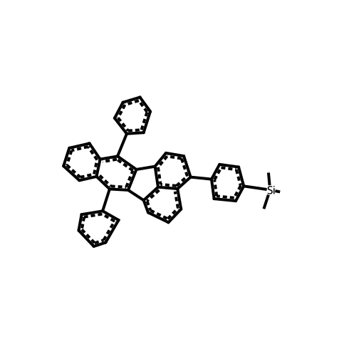 C[Si](C)(C)c1ccc(-c2ccc3c4c(cccc24)-c2c-3c(-c3ccccc3)c3ccccc3c2-c2ccccc2)cc1